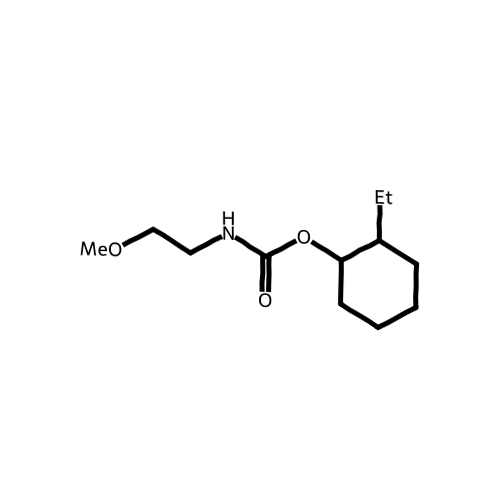 CCC1CCCCC1OC(=O)NCCOC